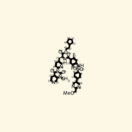 COCc1ncc(-c2ccc(S(=O)(=O)Nc3cc(F)c(C(=O)N[C@@H](Cc4ccc(-n5c(=O)c6ccncc6n(C)c5=O)nc4)C(=O)OCCC4CCCC4)cc3F)cc2)cn1